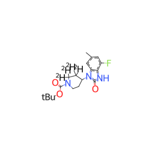 [2H]C1([2H])C(n2c(=O)[nH]c3c(F)cc(C)cc32)CCN(C(=O)OC(C)(C)C)C1([2H])[2H]